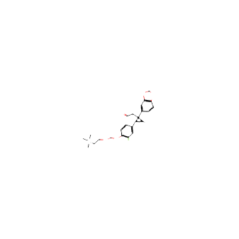 C[Si](C)(C)CCOCOc1ccc(C2CC2(CC=O)c2ccc3c(c2)OCO3)cc1F